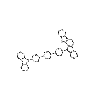 c1ccc2c(c1)oc1c2ccc2c3ccccc3n(-c3ccc(-c4ccc(-c5ccc(-n6c7ccccc7c7ccccc76)cc5)cc4)cc3)c21